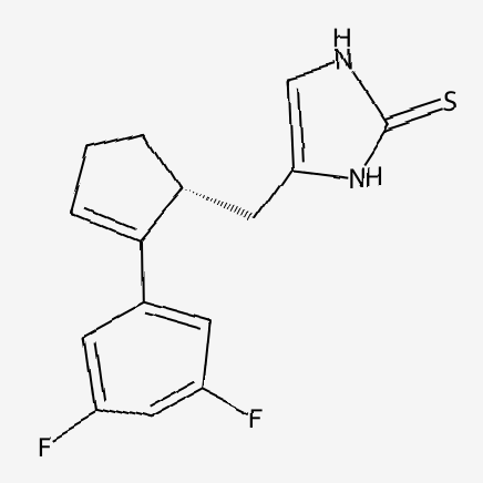 Fc1cc(F)cc(C2=CCC[C@@H]2Cc2c[nH]c(=S)[nH]2)c1